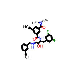 C#Cc1cccc(CNC[C@@H](O)[C@H](Cc2cc(F)cc(F)c2)NC(=O)c2cc(C#C)cc(C(=O)N(CCC)CCC)c2)c1